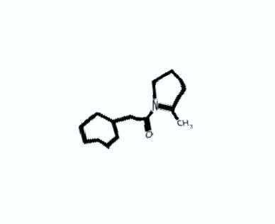 CC1CCCN1C(=O)CC1CCCCC1